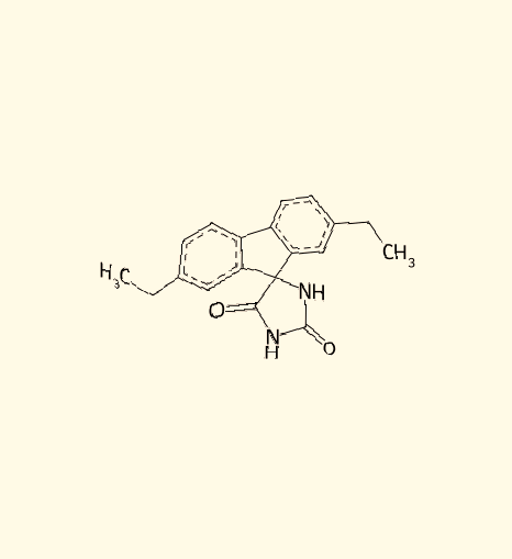 CCc1ccc2c(c1)C1(NC(=O)NC1=O)c1cc(CC)ccc1-2